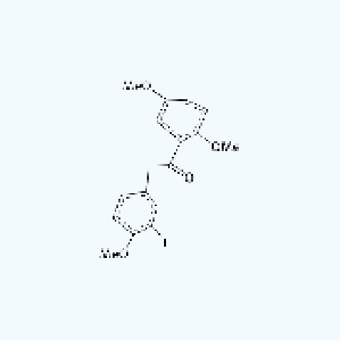 COc1ccc(OC)c(C(=O)Cc2ccc(OC)c(F)c2)c1